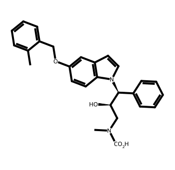 Cc1ccccc1COc1ccc2c(ccn2[C@@H](c2ccccc2)[C@H](O)CN(C)C(=O)O)c1